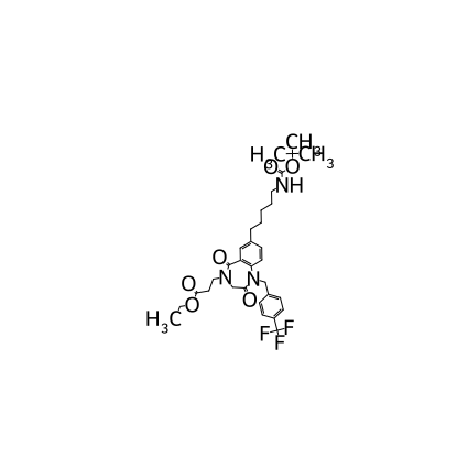 CCOC(=O)CCN1CC(=O)N(Cc2ccc(C(F)(F)F)cc2)c2ccc(CCCCCNC(=O)OC(C)(C)C)cc2C1=O